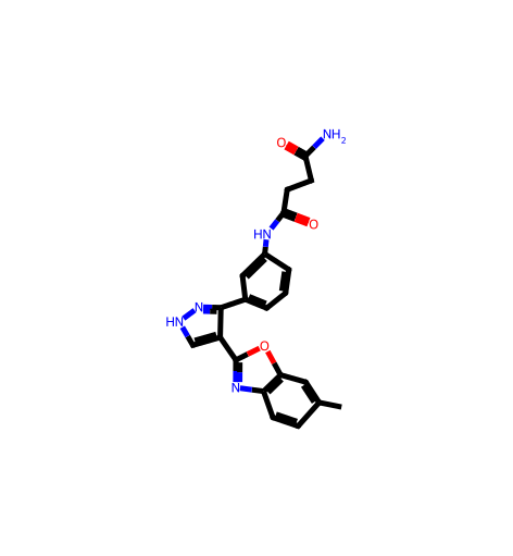 Cc1ccc2nc(-c3c[nH]nc3-c3cccc(NC(=O)CCC(N)=O)c3)oc2c1